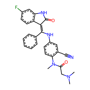 CN(C)CC(=O)N(C)c1ccc(N/C(=C2\C(=O)Nc3cc(F)ccc32)c2ccccc2)cc1C#N